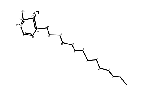 CCCCCCCCCCCCCCc1ccnc(C)c1Cl